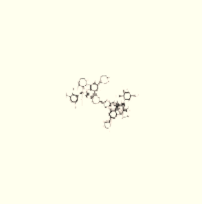 O=C(NS(=O)(=O)c1c(C2CCCCC2)cc(C2CCCCC2)cc1C1CCCC(C2CCC(c3cc(C4CCCC4)cc(C4CCCC4)c3S(=O)(=O)NC(=O)c3cc(I)cc(I)c3I)C2)C1)c1cc(I)cc(I)c1I